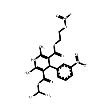 CC1=C(C(=O)OCCO[N+](=O)[O-])C(c2cccc([N+](=O)[O-])c2)C(C(=O)OC(C)C)=C(C)N1